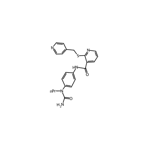 CCCN(C(N)=O)c1ccc(NC(=O)c2cccnc2SCc2ccncc2)cc1